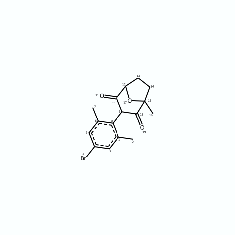 Cc1cc(Br)cc(C)c1C1C(=O)C2CCC(C)(O2)C1=O